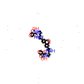 O=C(O)NC(C(=O)N1CCCC1c1nc(-c2ccc3c(c2)COCc2cc(-c4c[nH]c([C@@H]5CCCN5C(=O)[C@@H](NC(=O)O)C5CCOCC5)n4)ccc2-3)c[nH]1)C1CCOCC1